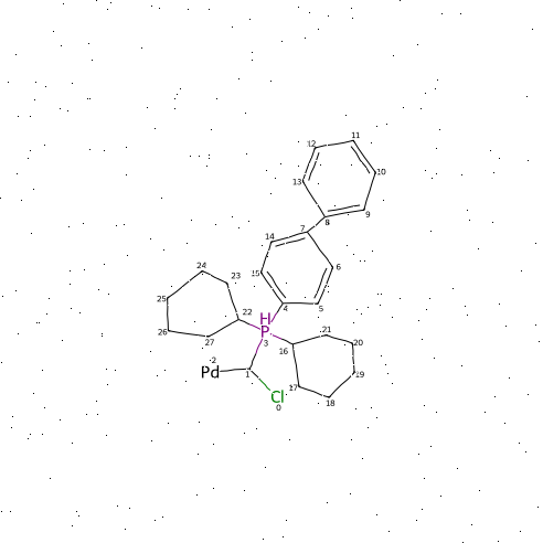 Cl[CH]([Pd])[PH](c1ccc(-c2ccccc2)cc1)(C1CCCCC1)C1CCCCC1